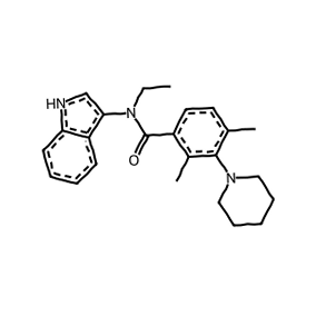 CCN(C(=O)c1ccc(C)c(N2CCCCC2)c1C)c1c[nH]c2ccccc12